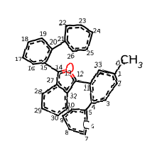 Cc1ccc(-c2ccccc2)c(-c2oc(-c3ccccc3-c3ccccc3)c3ccccc23)c1